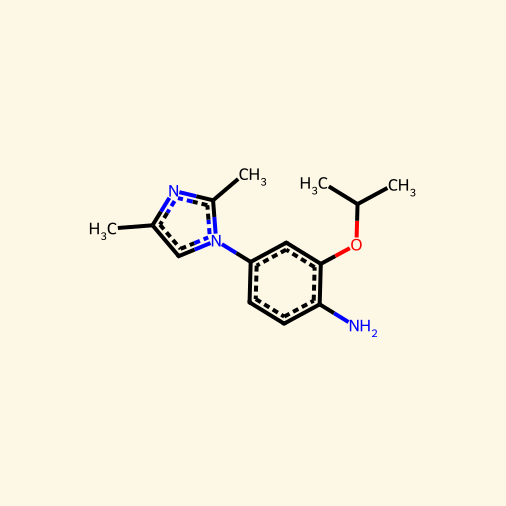 Cc1cn(-c2ccc(N)c(OC(C)C)c2)c(C)n1